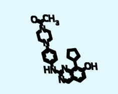 CC(=O)N1CCN(c2ccc(Nc3ncc4ccc(O)c(C5CCCC5)c4n3)cc2)CC1